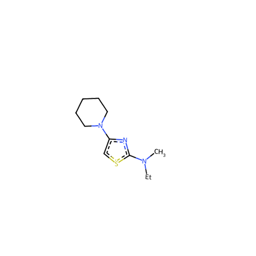 CCN(C)c1nc(N2CCCCC2)cs1